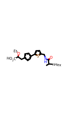 CCCCCCC(C)C(=O)NCc1ccc(-c2ccc(CC(OCC)C(=O)O)cc2)s1